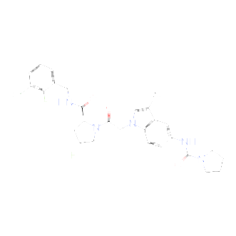 CC(=O)c1cn(CC(=O)N2C[C@H](F)C[C@H]2C(=O)NCc2cccc(Cl)c2F)c2ccc(NC(=O)N3CCCC3)cc12